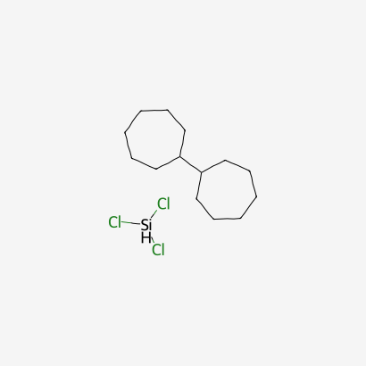 C1CCCC(C2CCCCCC2)CC1.Cl[SiH](Cl)Cl